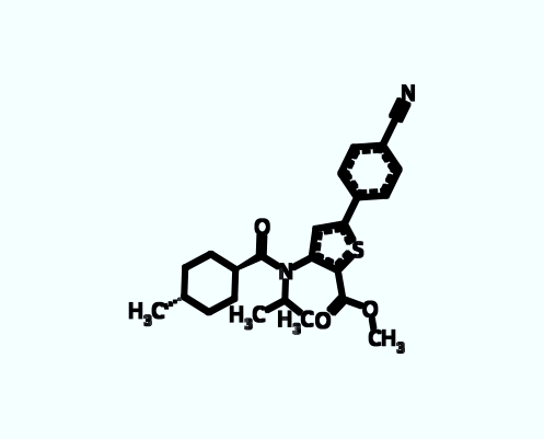 COC(=O)c1sc(-c2ccc(C#N)cc2)cc1N(C(=O)[C@H]1CC[C@H](C)CC1)C(C)C